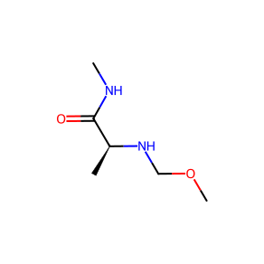 CNC(=O)[C@H](C)NCOC